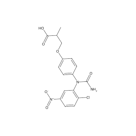 CC(COc1ccc(N(C(N)=O)c2cc([N+](=O)[O-])ccc2Cl)cc1)C(=O)O